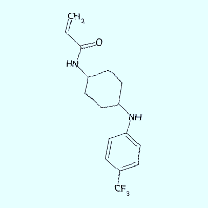 C=CC(=O)NC1CCC(Nc2ccc(C(F)(F)F)cc2)CC1